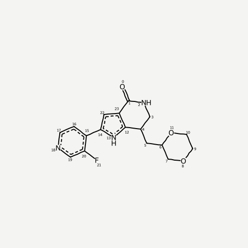 O=C1NCC(CC2COCCO2)c2[nH]c(-c3ccncc3F)cc21